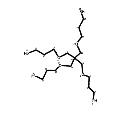 OCCCOCC(COCCCS)(COCCCS)COCCCS